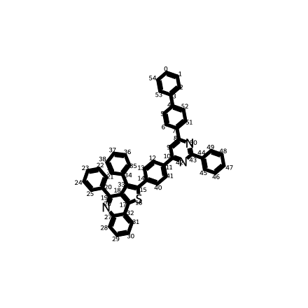 c1ccc(-c2ccc(-c3cc(-c4ccc(-c5sc6c(c(-c7ccccc7)nc7ccccc76)c5-c5ccccc5)cc4)nc(-c4ccccc4)n3)cc2)cc1